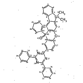 C[Si]1(C)c2ccccc2-c2cc3c(cc21)Oc1ccc(-c2nc(-c4ccccc4)nc(-c4ccccc4)n2)cc1P3(=O)c1ccccc1